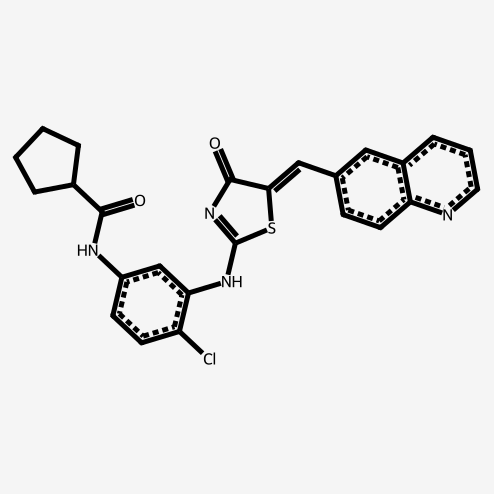 O=C1N=C(Nc2cc(NC(=O)C3CCCC3)ccc2Cl)S/C1=C\c1ccc2ncccc2c1